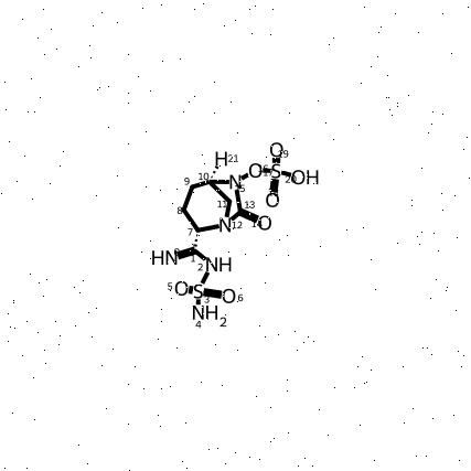 N=C(NS(N)(=O)=O)[C@@H]1CC[C@@H]2CN1C(=O)N2OS(=O)(=O)O